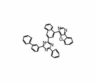 c1ccc(-c2cccc(-c3nc(-c4ccccc4)nc(-c4cc(-c5ncnc6c5oc5ccccc56)c5ccccc5c4)n3)c2)cc1